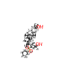 CC[C@]1(O)CC[C@H]2C(=CC[C@@H]3C2CC[C@]2(C)[C@@H]([C@H](C)CC(C[C@](C)(O)C(F)(F)F)S(=O)(=O)c4ccccc4)CC[C@@H]32)C1